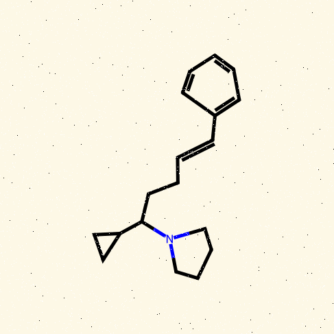 C(=C\c1ccccc1)/CCC(C1CC1)N1CCCC1